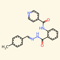 Cc1ccc(/C=N/NC(=O)c2ccccc2NC(=O)c2ccncc2)cc1